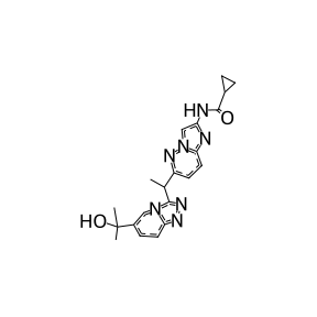 CC(c1ccc2nc(NC(=O)C3CC3)cn2n1)c1nnc2ccc(C(C)(C)O)cn12